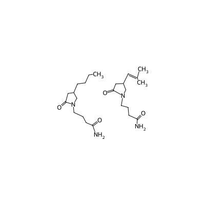 CC(C)=CC1CC(=O)N(CCCC(N)=O)C1.CCCCC1CC(=O)N(CCCC(N)=O)C1